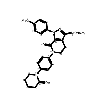 COc1ccc(-n2nc(N(C)O)c3c2C(=O)N(c2ccc(N4CCCCC4=O)cc2)CC3)cc1